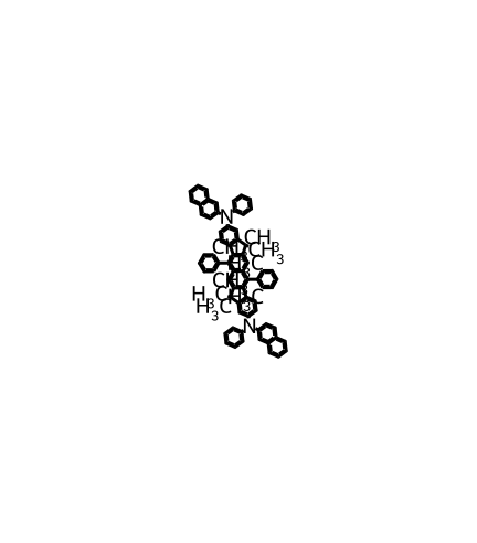 Cc1cccc(C)c1-c1c2c(cc3c(-c4c(C)cccc4C)c4c(cc13)C(C)(C)c1cc(N(c3ccccc3)c3ccc5ccccc5c3)ccc1-4)C(C)(C)c1cc(N(c3ccccc3)c3ccc4ccccc4c3)ccc1-2